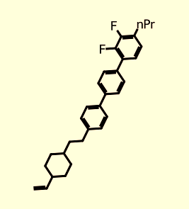 C=CC1CCC(CCc2ccc(-c3ccc(-c4ccc(CCC)c(F)c4F)cc3)cc2)CC1